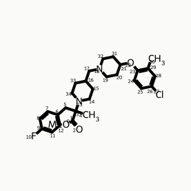 COC(=O)C(C)(Cc1ccc(F)cc1)N1CCC(CN2CCC(Oc3ccc(Cl)cc3C)CC2)CC1